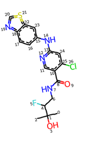 CC(C)(O)C(F)CNC(=O)c1cnc(Nc2ccc3ncsc3c2)cc1Cl